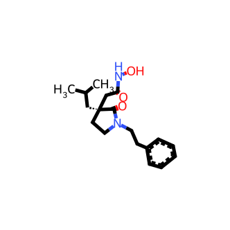 CC(C)C[C@@]1(CC(=O)NO)CCN(CCc2ccccc2)C1=O